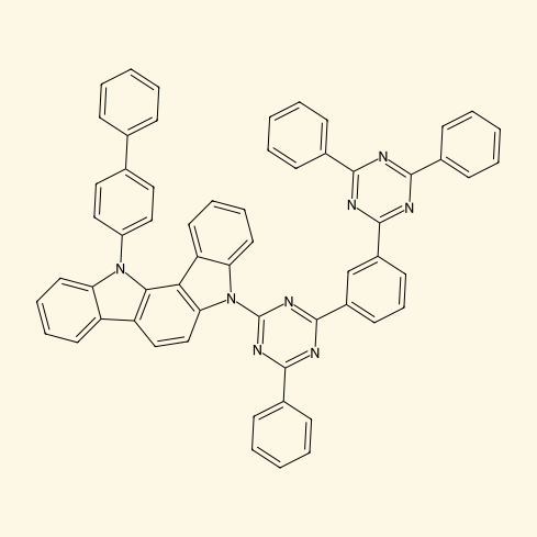 c1ccc(-c2ccc(-n3c4ccccc4c4ccc5c(c6ccccc6n5-c5nc(-c6ccccc6)nc(-c6cccc(-c7nc(-c8ccccc8)nc(-c8ccccc8)n7)c6)n5)c43)cc2)cc1